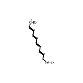 CCCCCCCC=CC=CC=CC=C[C]=O